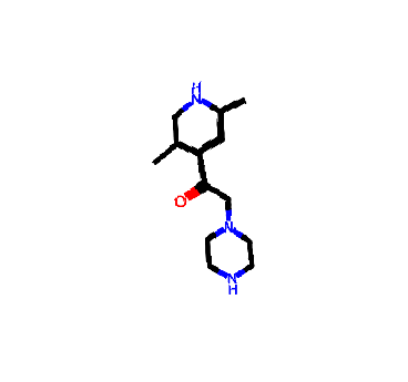 CC1CC(C(=O)CN2CCNCC2)C(C)CN1